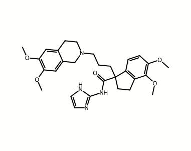 COc1cc2c(cc1OC)CN(CCCC1(C(=O)Nc3ncc[nH]3)CCc3c1ccc(OC)c3OC)CC2